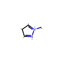 C[N+]1=CCC=N1